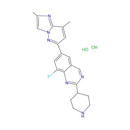 Cc1cn2nc(-c3cc(F)c4nc(C5CCNCC5)ncc4c3)cc(C)c2n1.Cl.Cl